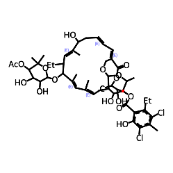 CCc1c(Cl)c(C)c(Cl)c(O)c1C(=O)OC1C(C)OC(OC/C2=C\C=C\CC(O)/C(C)=C/C(CC)C(OC3OC(C)(C)C(OC(C)=O)C(O)C3O)/C(C)=C/C(C)=C/CC(C(C)O)OC2=O)C(C)C1O